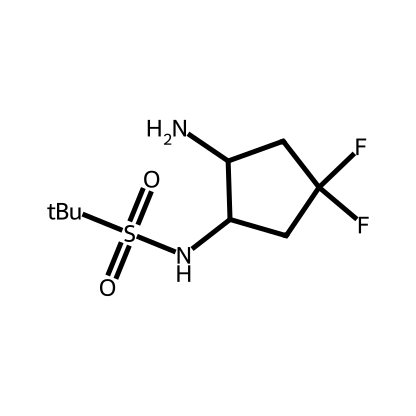 CC(C)(C)S(=O)(=O)NC1CC(F)(F)CC1N